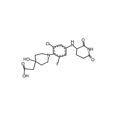 O=C(O)CC1(O)CCN(c2c(F)cc(NC3CCC(=O)NC3=O)cc2Cl)CC1